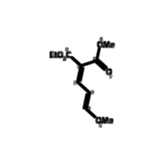 CCOC(=O)/C(=C/C=C/OC)C(=O)OC